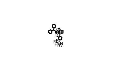 Cl.Cl.Fc1ccc(-n2nnnc2C(F)(F)F)cc1CN1CC(C(c2ccccc2)c2ccccc2)N2CCC[C@H]2C1